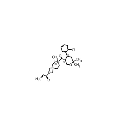 C=CC(=O)N1CC2(CCN(C(=O)[C@@H]3COC(C)(C)C[C@@H]3c3ccccc3Cl)[C@@H](C)C2)C1